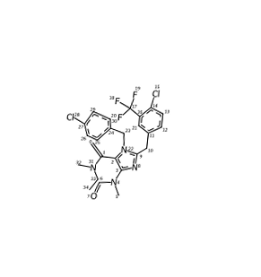 C=C(c1c(N(C)C=O)nc(Cc2ccc(Cl)c(C(F)(F)F)c2)n1Cc1ccc(Cl)cc1)N(C)CC